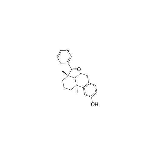 C[C@]1(C(=O)C2=CSC=CC2)CCC[C@]2(C)c3cc(O)ccc3CCC12